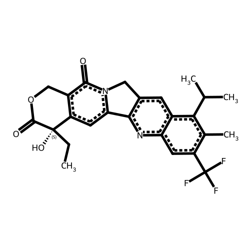 CC[C@@]1(O)C(=O)OCc2c1cc1n(c2=O)Cc2cc3c(C(C)C)c(C)c(C(F)(F)F)cc3nc2-1